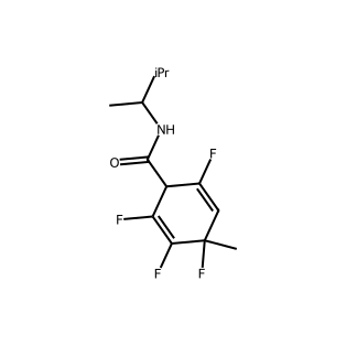 CC(C)C(C)NC(=O)C1C(F)=CC(C)(F)C(F)=C1F